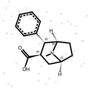 CN1[C@H]2CC[C@@H]1[C@@H](c1ccccc1)[C@H](C(=O)O)C2